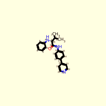 CC(C)[C@@H](Nc1ccccc1)C(=O)Nc1ccc(-c2ccncc2)cc1